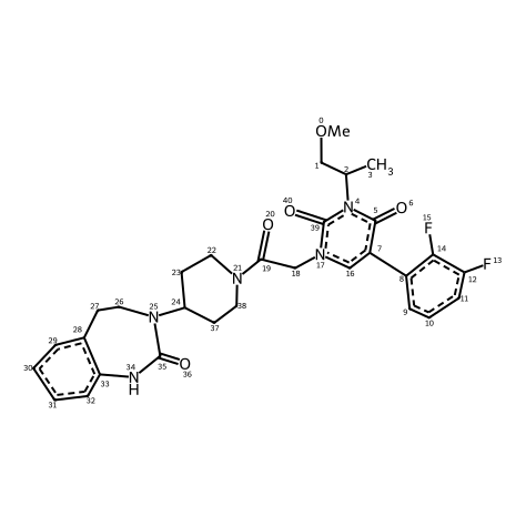 COCC(C)n1c(=O)c(-c2cccc(F)c2F)cn(CC(=O)N2CCC(N3CCc4ccccc4NC3=O)CC2)c1=O